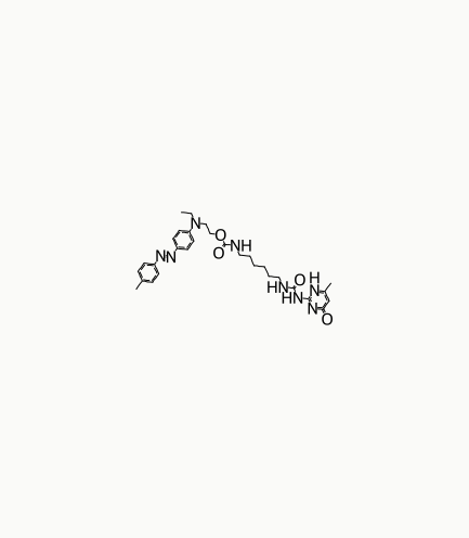 CCN(CCOC(=O)NCCCCCCNC(=O)Nc1nc(=O)cc(C)[nH]1)c1ccc(/N=N/c2ccc(C)cc2)cc1